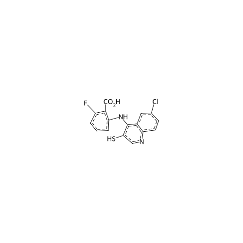 O=C(O)c1c(F)cccc1Nc1c(S)cnc2ccc(Cl)cc12